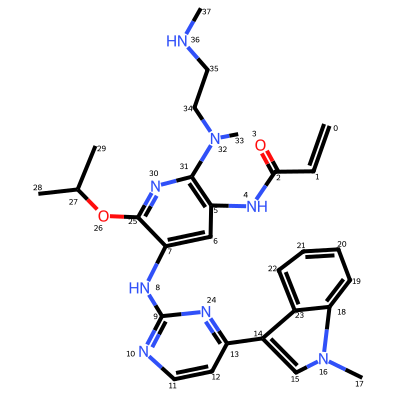 C=CC(=O)Nc1cc(Nc2nccc(-c3cn(C)c4ccccc34)n2)c(OC(C)C)nc1N(C)CCNC